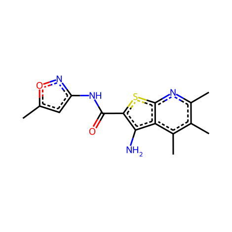 Cc1cc(NC(=O)c2sc3nc(C)c(C)c(C)c3c2N)no1